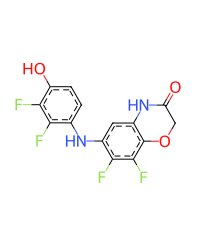 O=C1COc2c(cc(Nc3ccc(O)c(F)c3F)c(F)c2F)N1